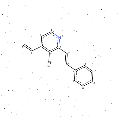 C=Cc1ccnc(C=Cc2ccccc2)c1CC